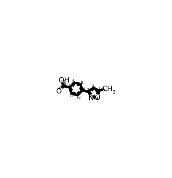 Cc1cc(-c2ccc(C(=O)O)cc2)no1